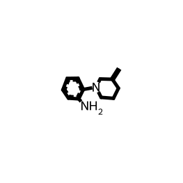 C=C1CCCN(c2ccccc2N)C1